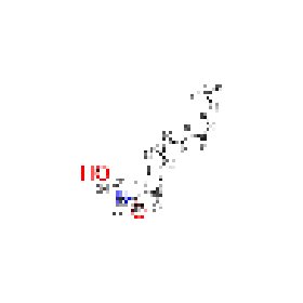 CC(C)=CCCC(C)=CCCC(C)=CCCC(C)=CC(=O)N(C)CCO